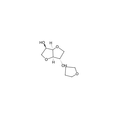 C1CCOC1.O[C@@H]1CO[C@H]2[C@@H]1OC[C@@H]2O